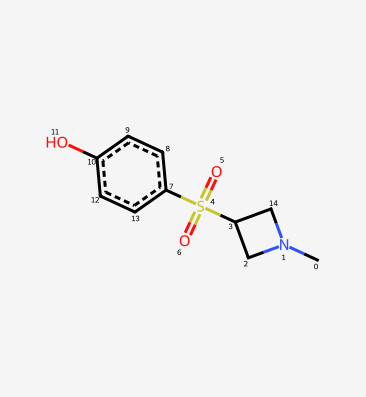 CN1CC(S(=O)(=O)c2ccc(O)cc2)C1